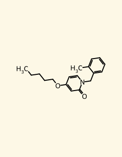 CCCCCOc1ccn(Cc2ccccc2C)c(=O)c1